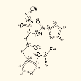 N#CCNC(=O)[C@H](C[S+]([O-])Cc1ccccc1OC(F)F)NC(=O)c1ccsc1